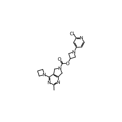 Cc1nc2c(c(N3CCC3)n1)CN(C(=O)OC1CN(c3ccnc(Cl)c3)C1)C2